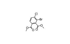 COC(=O)c1ccc(Cl)c(Br)c1C(=O)OC